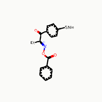 CC/C(=N\OC(=O)c1ccccc1)C(=O)c1ccc(SC)cc1